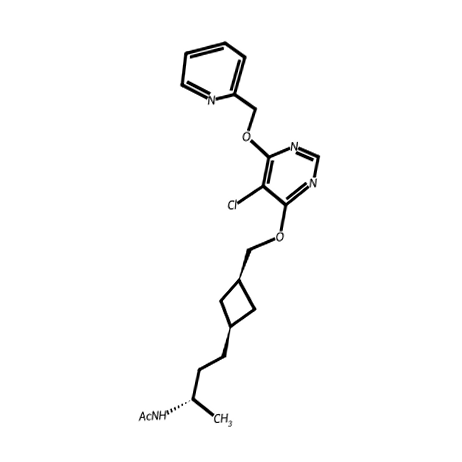 CC(=O)N[C@@H](C)CC[C@H]1C[C@@H](COc2ncnc(OCc3ccccn3)c2Cl)C1